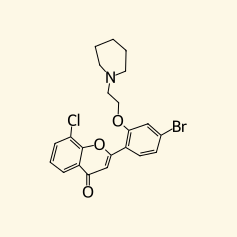 O=c1cc(-c2ccc(Br)cc2OCCN2CCCCC2)oc2c(Cl)cccc12